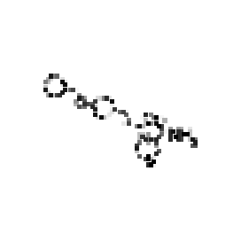 NC(=O)C1CSCCN1C(=O)[CH]Cc1ccc(OCc2ccccc2)cc1